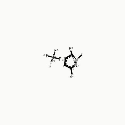 C[n+]1nc(F)ccc1F.F[B-](F)(F)F